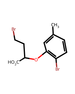 Cc1ccc(Br)c(OC(CCBr)C(=O)O)c1